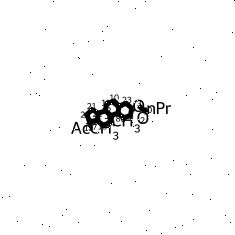 CCCC(=O)OC1CCC2(C)C(=CCC3C2CCC2(C)C(C(C)=O)CCC32)C1